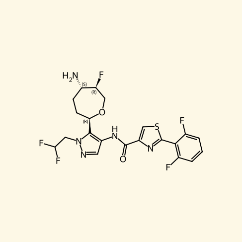 N[C@H]1CC[C@H](c2c(NC(=O)c3csc(-c4c(F)cccc4F)n3)cnn2CC(F)F)OC[C@@H]1F